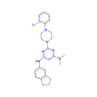 CN(C)c1cc(Nc2ccc3c(c2)CCC3)nc(N2CCN(c3ccccc3Cl)CC2)n1